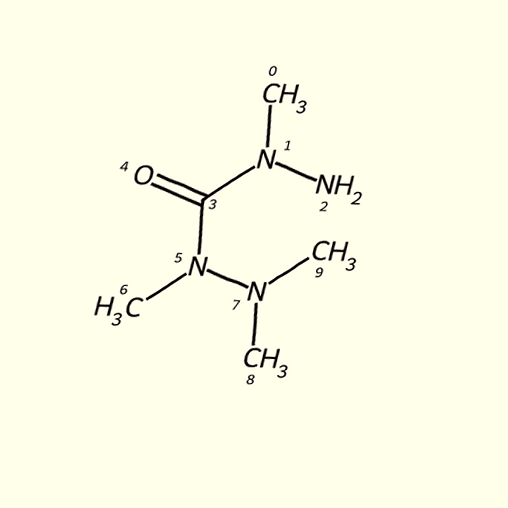 CN(N)C(=O)N(C)N(C)C